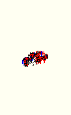 Cc1c(-c2ccc(N3CCc4cccc(C(=O)Nc5nc6ccccc6s5)c4C3)nc2C(=O)O)cnn1CC12CC3(OCCN(CC[C@H](O)CO)C(=O)OCc4ccc(CCCNC(=O)CN5C(=O)C=CC5=O)cc4O[C@@H]4O[C@H](C(=O)O)[C@@H](O)[C@H](O)[C@H]4O)CC4(C)CC(C)(C1)C4(C2)C3